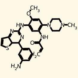 C=CC(=O)Nc1cc(NC2=NC(c3cccc(N)c3)C3SC=CC3=N2)c(OC)cc1N1CCN(C)CC1